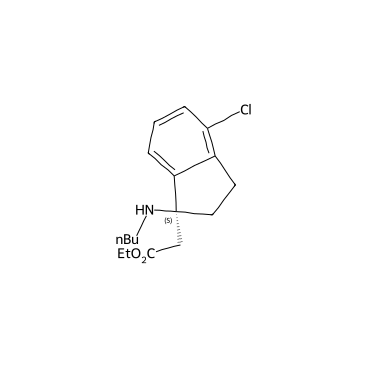 CCCCN[C@]1(CC(=O)OCC)CCc2c(Cl)cccc21